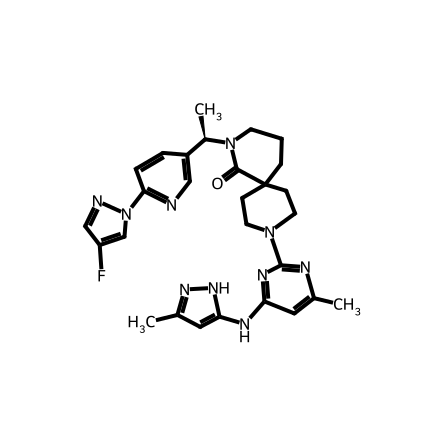 Cc1cc(Nc2cc(C)nc(N3CCC4(CCCN([C@H](C)c5ccc(-n6cc(F)cn6)nc5)C4=O)CC3)n2)[nH]n1